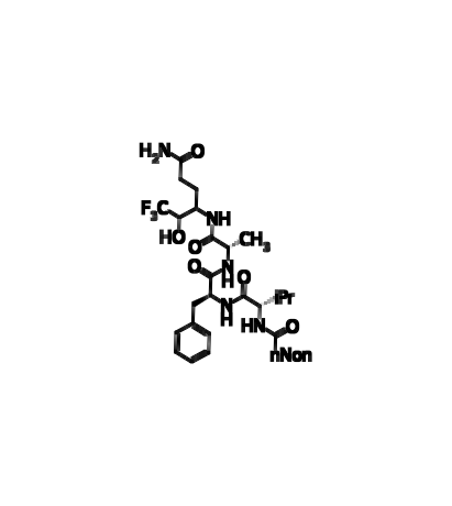 CCCCCCCCCC(=O)N[C@H](C(=O)N[C@@H](Cc1ccccc1)C(=O)N[C@@H](C)C(=O)NC(CCC(N)=O)C(O)C(F)(F)F)C(C)C